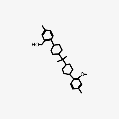 COc1cc(C)ccc1C1CCC(C(C)(C)C2CCC(c3ccc(C)cc3CO)CC2)CC1